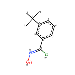 CC(C)(C)c1cccc(C(Cl)=NO)c1